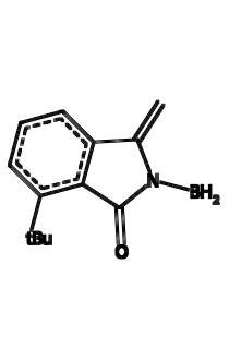 BN1C(=C)c2cccc(C(C)(C)C)c2C1=O